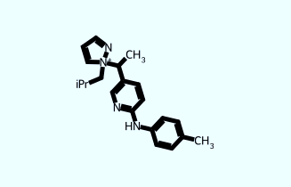 Cc1ccc(Nc2ccc(C(C)[N+]3(CC(C)C)C=CC=N3)cn2)cc1